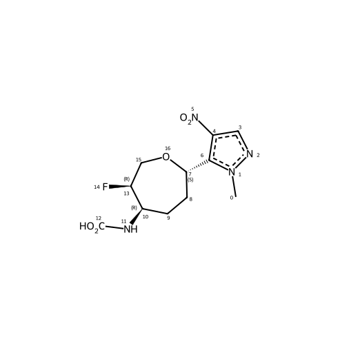 Cn1ncc([N+](=O)[O-])c1[C@@H]1CC[C@@H](NC(=O)O)[C@@H](F)CO1